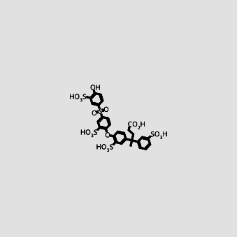 CC(CCC(=O)O)(c1cccc(S(=O)(=O)O)c1)c1ccc(Oc2ccc(S(=O)(=O)c3ccc(O)c(S(=O)(=O)O)c3)cc2S(=O)(=O)O)c(S(=O)(=O)O)c1